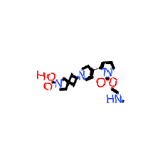 CNCCOC(=O)N1CCC[C@H]1C1CCN(C2CC3(CCN(C(=O)O)C3)C2)CC1